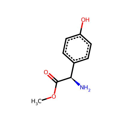 COC(=O)[C@H](N)c1ccc(O)cc1